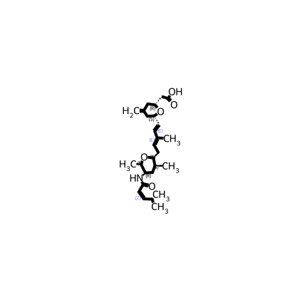 C=C1C[C@H](CC(=O)O)O[C@H](/C=C/C(C)=C/C[C@@H]2O[C@H](C)[C@H](NC(=O)/C=C\C(C)C)C[C@@H]2C)C1